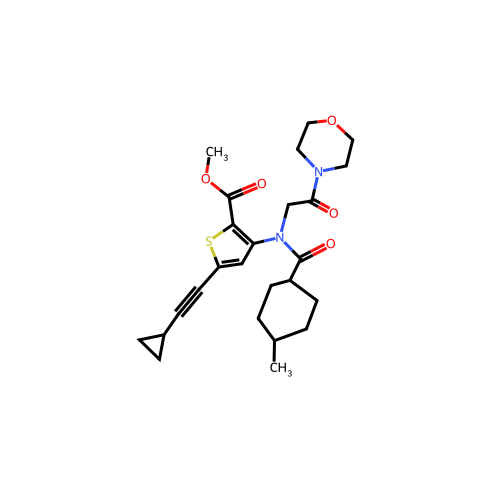 COC(=O)c1sc(C#CC2CC2)cc1N(CC(=O)N1CCOCC1)C(=O)C1CCC(C)CC1